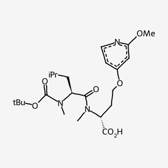 COc1cc(OCC[C@H](C(=O)O)N(C)C(=O)[C@H](CC(C)C)N(C)C(=O)OC(C)(C)C)ccn1